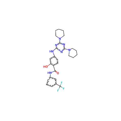 O=C(Nc1cccc(C(F)(F)F)c1)c1ccc(Nc2nc(N3CCCCC3)nc(N3CCCCC3)n2)cc1O